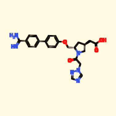 N=C(N)c1ccc(-c2ccc(OC[C@@H]3C[C@@H](CC(=O)O)CN3C(=O)Cn3cncn3)cc2)cc1